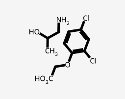 CC(O)CN.O=C(O)COc1ccc(Cl)cc1Cl